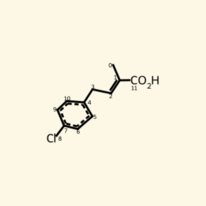 C/C(=C\Cc1ccc(Cl)cc1)C(=O)O